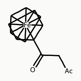 CC(=O)CC(=O)[C]12[CH]3[CH]4[CH]5[CH]1[Fe]45321678[CH]2[CH]1[CH]6[CH]7[CH]28